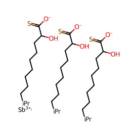 CC(C)CCCCCCCC(O)C([O-])=S.CC(C)CCCCCCCC(O)C([O-])=S.CC(C)CCCCCCCC(O)C([O-])=S.[Sb+3]